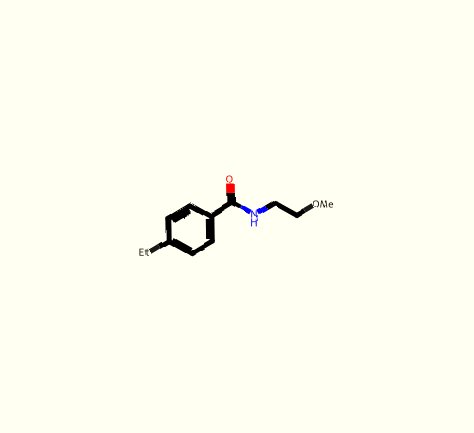 CCc1ccc(C(=O)NCCOC)cc1